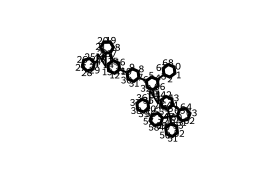 c1ccc(-c2cc(-c3ccc(-c4ccc5c(c4)c4ccccc4n5-c4ccccc4)cc3)cc(N(c3ccccc3)c3ccc4c(c3)C(c3ccccc3)(c3ccccc3)c3ccccc3-4)c2)cc1